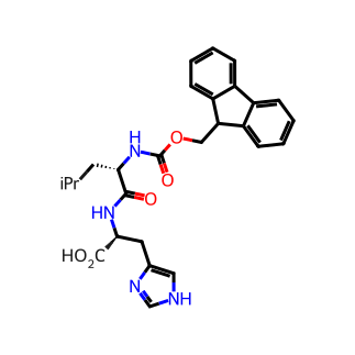 CC(C)C[C@H](NC(=O)OCC1c2ccccc2-c2ccccc21)C(=O)N[C@@H](Cc1c[nH]cn1)C(=O)O